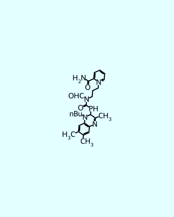 CCCCN1c2cc(C)c(C)cc2N=C(C)C1PC(=O)N(C=O)CCC[n+]1ccccc1C(N)=O